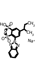 CCC(C)c1cc(-n2nc3ccccc3n2)c(S(=O)(=O)[O-])c(S(=O)(=O)O)c1.[Na+]